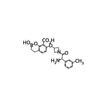 Cc1cccc([C@@H](N)C(=O)N2CC(Oc3ccc4c(c3C(=O)O)OB(O)CC4)C2)c1